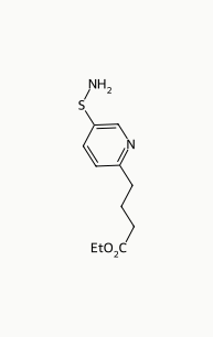 CCOC(=O)CCCc1ccc(SN)cn1